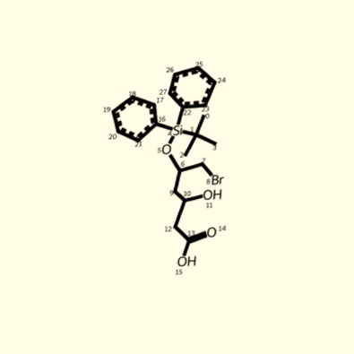 CC(C)(C)[Si](OC(CBr)CC(O)CC(=O)O)(c1ccccc1)c1ccccc1